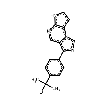 CC(C)(O)c1ccc(-c2ncn3c2cnc2[nH]ccc23)cc1